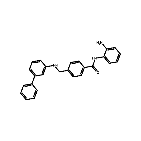 Nc1ccccc1NC(=O)c1ccc(CNc2cccc(-c3ccccc3)c2)cc1